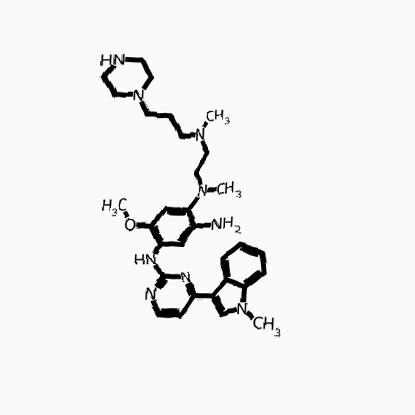 COc1cc(N(C)CCN(C)CCCN2CCNCC2)c(N)cc1Nc1nccc(-c2cn(C)c3ccccc23)n1